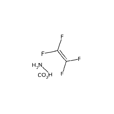 FC(F)=C(F)F.NC(=O)O